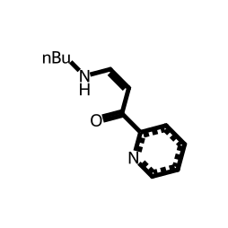 CCCCN/C=C\C(=O)c1ccccn1